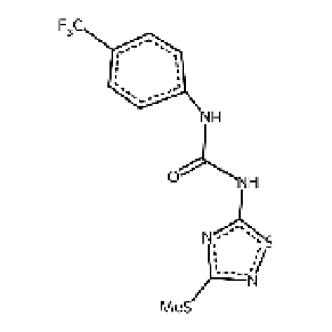 CSc1nsc(NC(=O)Nc2ccc(C(F)(F)F)cc2)n1